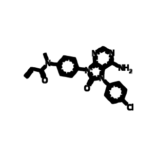 C=CC(=O)N(C)c1ccc(-n2c(=O)n(-c3ccc(Cl)cc3)c3c(N)ncnc32)cc1